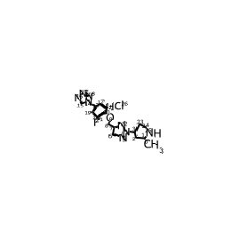 CC1CC(n2ncc(COc3ccc(-n4cnnn4)cc3F)n2)CCN1.Cl